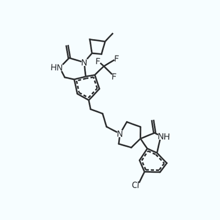 C=C1NCc2cc(CCCN3CCC4(CC3)C(=C)Nc3ccc(Cl)cc34)cc(C(F)(F)F)c2N1C1CC(C)C1